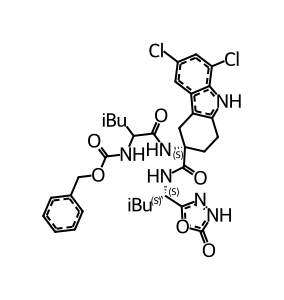 CCC(C)C(NC(=O)OCc1ccccc1)C(=O)N[C@@]1(C(=O)N[C@H](c2n[nH]c(=O)o2)[C@@H](C)CC)CCc2[nH]c3c(Cl)cc(Cl)cc3c2C1